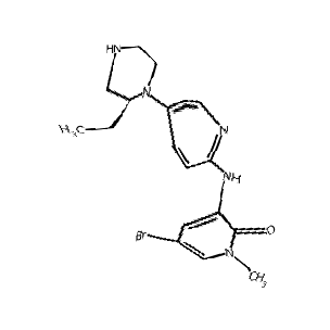 CC[C@H]1CNCCN1c1ccc(Nc2cc(Br)cn(C)c2=O)nc1